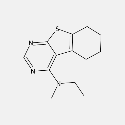 CCN(C)c1ncnc2sc3c(c12)CCCC3